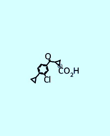 O=C(c1ccc(C2CC2)c(Cl)c1)C1C[C@@H]1C(=O)O